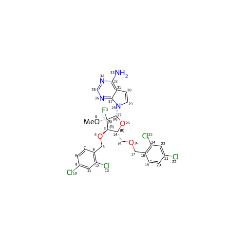 CO[C@@]1(F)[C@H](OCc2ccc(Cl)cc2Cl)[C@@H](COCc2ccc(Cl)cc2Cl)O[C@H]1n1ccc2c(N)ncnc21